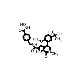 COc1ccc(C(C)(C)O)cc1-c1cn(C)c(=O)c2[nH]c(C(=O)NCc3ccc(C(=O)NO)cc3)cc12